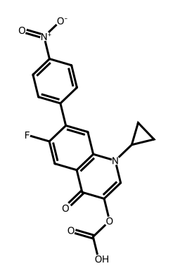 O=C(O)Oc1cn(C2CC2)c2cc(-c3ccc([N+](=O)[O-])cc3)c(F)cc2c1=O